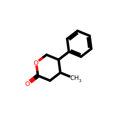 CC1CC(=O)OCC1c1ccccc1